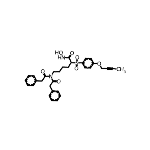 CC#CCOc1ccc(S(=O)(=O)C(CCCCN(C(=O)Cc2ccccc2)C(=O)Cc2ccccc2)C(=O)NO)cc1